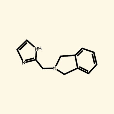 c1ccc2c(c1)CN(Cc1ncc[nH]1)C2